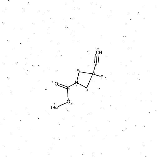 C#CC1(F)CN(C(=O)OC(C)(C)C)C1